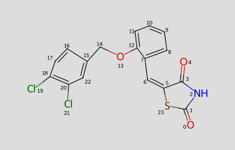 O=C1NC(=O)/C(=C\c2ccccc2OCc2ccc(Cl)c(Cl)c2)S1